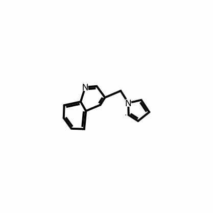 [c]1cccn1Cc1cnc2ccccc2c1